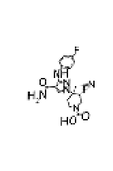 N#CC[C@]1(n2cc(C(N)=O)c(Nc3ccc(F)cc3)n2)CCN(C(=O)O)C[C@H]1F